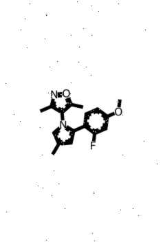 COc1ccc(-c2cc(C)cn2-c2c(C)noc2C)c(F)c1